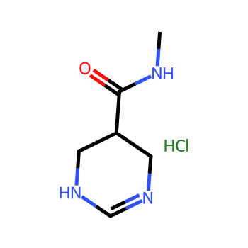 CNC(=O)C1CN=CNC1.Cl